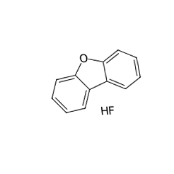 F.c1ccc2c(c1)oc1ccccc12